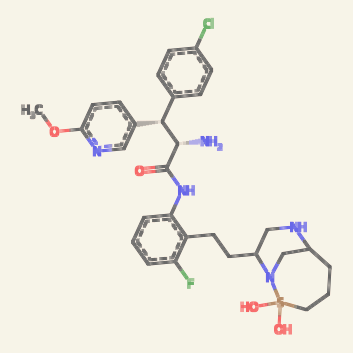 COc1ccc([C@H](c2ccc(Cl)cc2)[C@H](N)C(=O)Nc2cccc(F)c2CCC2CNC3CCCS(O)(O)N2C3)cn1